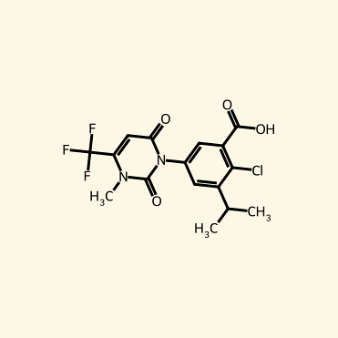 CC(C)c1cc(-n2c(=O)cc(C(F)(F)F)n(C)c2=O)cc(C(=O)O)c1Cl